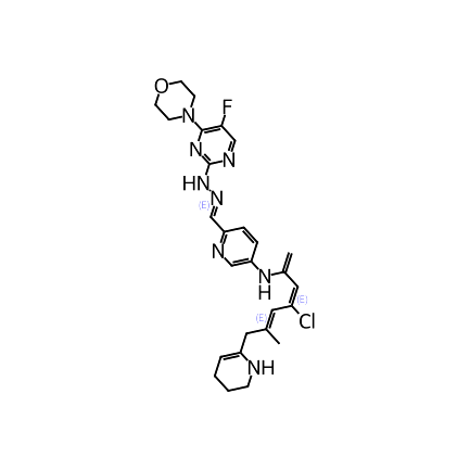 C=C(/C=C(Cl)\C=C(/C)CC1=CCCCN1)Nc1ccc(/C=N/Nc2ncc(F)c(N3CCOCC3)n2)nc1